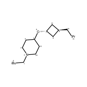 CCC(C)CN1CCC(O[C@H]2C[C@H](CC(C)C)C2)CC1